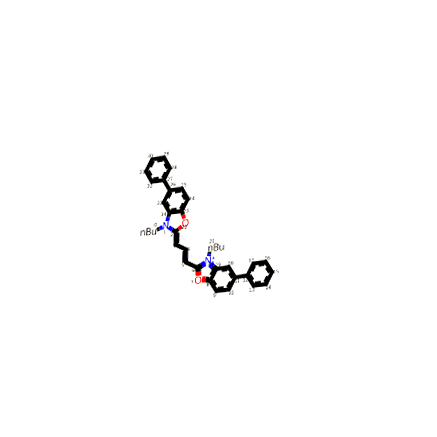 CCCCN1/C(=C/C=C/c2oc3ccc(-c4ccccc4)cc3[n+]2CCCC)Oc2ccc(-c3ccccc3)cc21